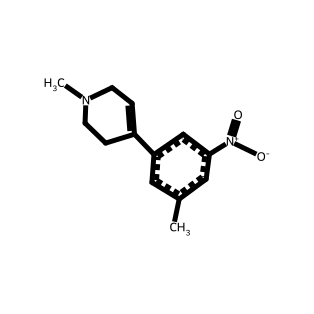 Cc1cc(C2=CCN(C)CC2)cc([N+](=O)[O-])c1